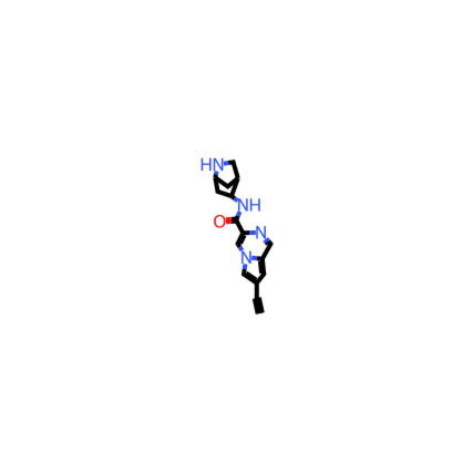 C#Cc1cc2cnc(C(=O)NC3CC4CC3CN4)cn2c1